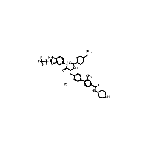 Cc1cc(C(=O)NC2CCNCC2)ccc1-c1ccc(C[C@H](NC(=O)C2CCC(CN)CC2)C(=O)Nc2ccc3[nH]c(C(F)(F)C(F)(F)F)nc3c2)cc1.Cl